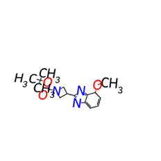 COC1C=CC=C2N=C(C3CN(C(=O)OC(C)(C)C)C3)N=C21